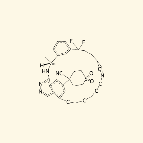 C[C@H]1Nc2nncc3c(cc(C4(C#N)CCS(=O)(=O)CC4)cc23)CCCCCCN2CC(CCC(F)(F)c3cccc1c3)C2